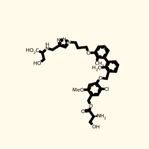 COc1cc(OCc2cccc(-c3cccc(OCCCn4cc(CNC(CO)C(=O)O)nn4)c3C)c2C)c(Cl)cc1COC(=O)[C@@H](N)CO